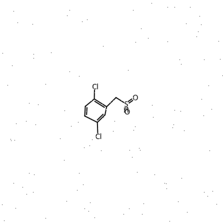 O=[SH](=O)Cc1cc(Cl)ccc1Cl